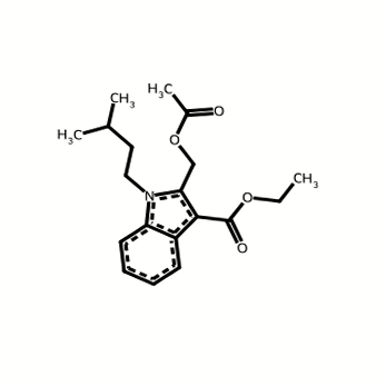 CCOC(=O)c1c(COC(C)=O)n(CCC(C)C)c2ccccc12